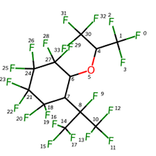 FC(F)(F)C(OC1C(C(F)(C(F)(F)F)C(F)(F)F)C(F)(F)C(F)(F)C(F)(F)C1(F)F)C(F)(F)F